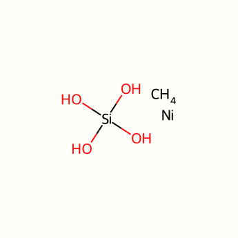 C.O[Si](O)(O)O.[Ni]